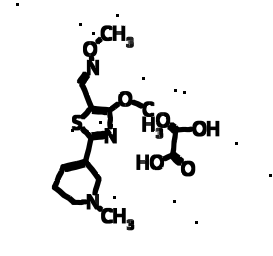 CO/N=C/c1sc(C2=CCCN(C)C2)nc1OC.O=C(O)C(=O)O